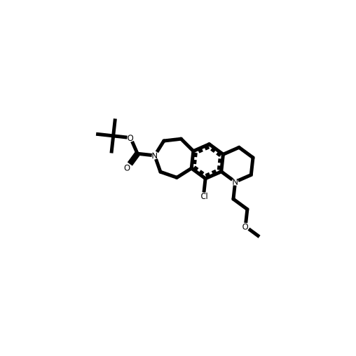 COCCN1CCCc2cc3c(c(Cl)c21)CCN(C(=O)OC(C)(C)C)CC3